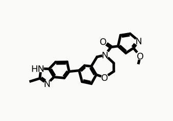 COc1cc(C(=O)N2CCOc3ccc(-c4ccc5[nH]c(C)nc5c4)cc3C2)ccn1